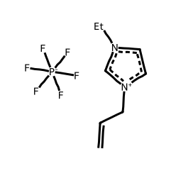 C=CC[n+]1ccn(CC)c1.F[P-](F)(F)(F)(F)F